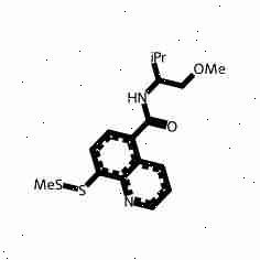 COCC(NC(=O)c1ccc(SSC)c2ncccc12)C(C)C